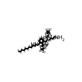 CCCCCCCCCCNCc1cccc(C(=O)[C@H](CCCCN)NC(=O)OC(C)(C)C)c1C(=O)OC(C)(C)C